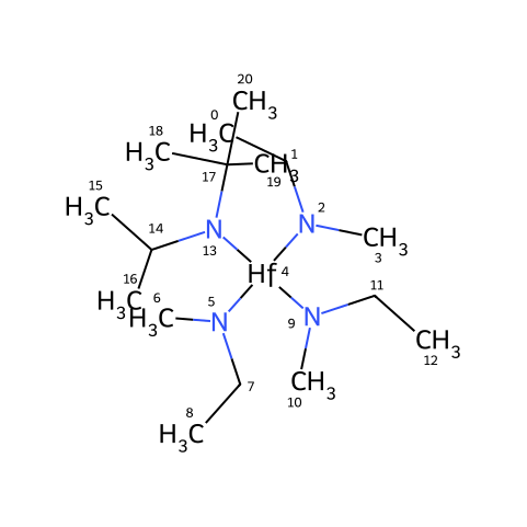 CC[N](C)[Hf]([N](C)CC)([N](C)CC)[N](C(C)C)C(C)(C)C